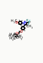 COc1ccc(-n2nc(C(F)(F)F)c(C)c2-c2ccc(OCCO[Si](C)(C)C(C)(C)C)cc2)cc1